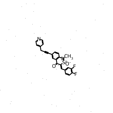 CN1c2ccc(C#CCc3ccncc3)cc2C(=O)/C(=C/c2ccc(F)c(F)c2)[S+]1[O-]